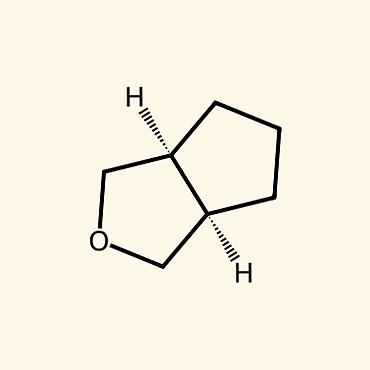 C1C[C@@H]2COC[C@@H]2C1